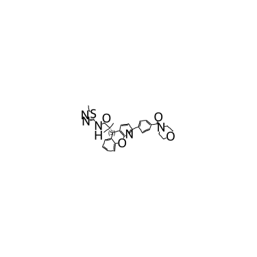 Cc1nnc(NC(=O)C(C)(C)[C@H]2c3ccccc3Oc3nc(-c4ccc(C(=O)N5CCOCC5)cc4)ccc32)s1